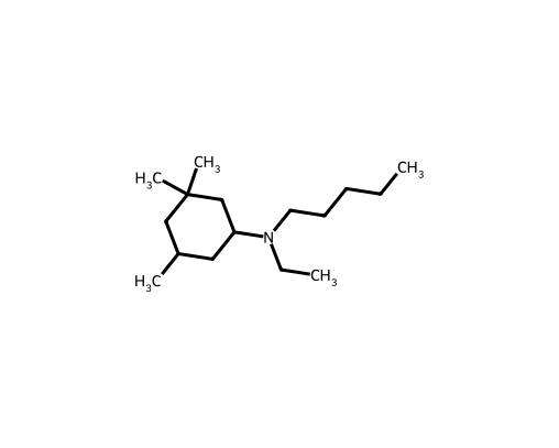 CCCCCN(CC)C1CC(C)CC(C)(C)C1